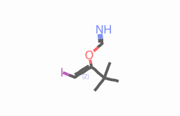 CC(C)(C)/C(=C/I)OC=N